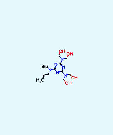 C=CCN(CCCC)c1nc(N(CO)CO)nc(N(CO)CO)n1